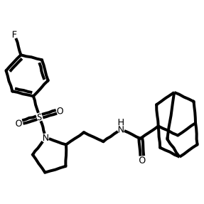 O=C(NCCC1CCCN1S(=O)(=O)c1ccc(F)cc1)C12CC3CC(CC(C3)C1)C2